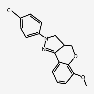 COc1cccc2c1OCC1CN(c3ccc(Cl)cc3)N=C21